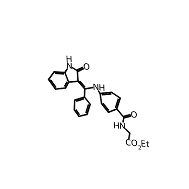 CCOC(=O)CNC(=O)c1ccc(N/C(=C2\C(=O)Nc3ccccc32)c2ccccc2)cc1